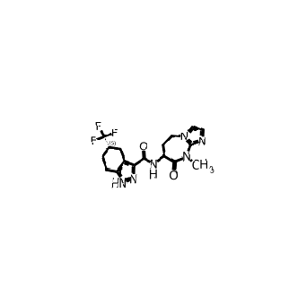 CN1C(=O)C(NC(=O)c2n[nH]c3c2C[C@@H](C(F)(F)F)CC3)CCn2ccnc21